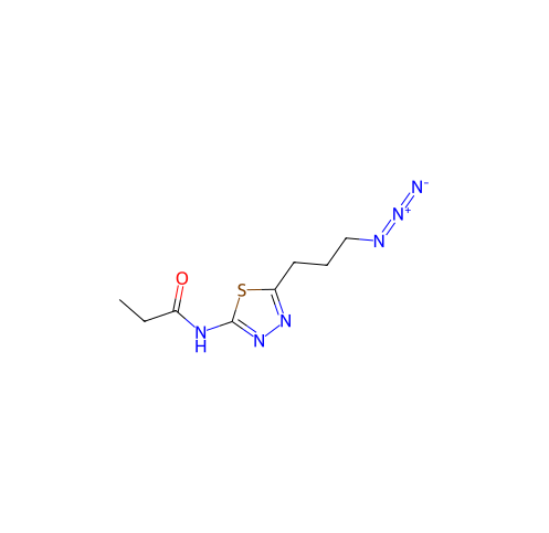 CCC(=O)Nc1nnc(CCCN=[N+]=[N-])s1